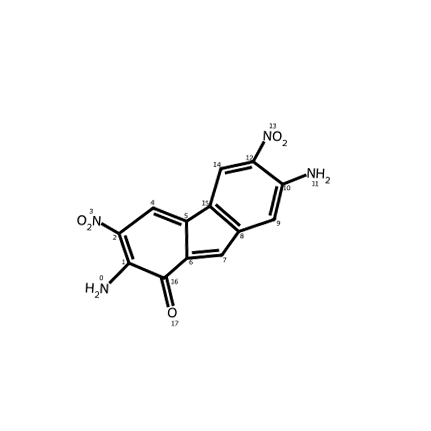 NC1=C([N+](=O)[O-])C=C2C(=Cc3cc(N)c([N+](=O)[O-])cc32)C1=O